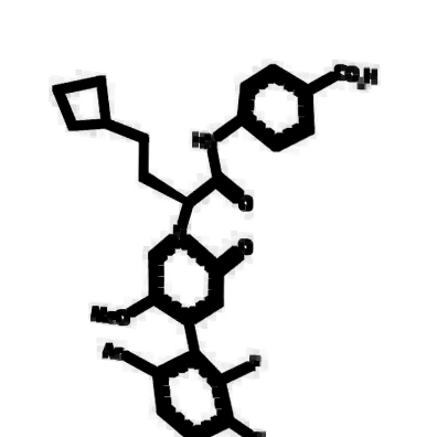 COc1cn([C@@H](CCC2CCC2)C(=O)Nc2ccc(C(=O)O)cc2)c(=O)cc1-c1c(C(C)=O)ccc(Cl)c1F